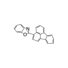 c1ccc2c(c1)-c1cccc3c(-c4nc5ccccc5o4)ccc-2c13